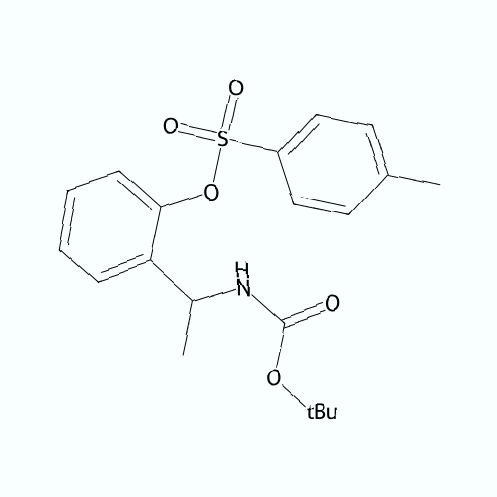 Cc1ccc(S(=O)(=O)Oc2ccccc2C(C)NC(=O)OC(C)(C)C)cc1